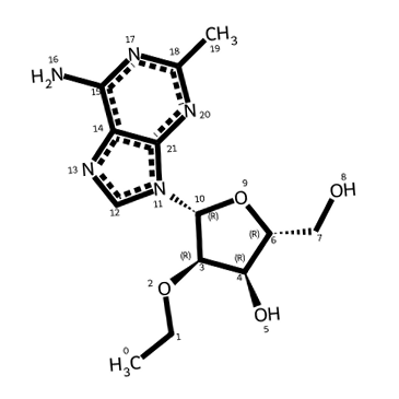 CCO[C@@H]1[C@H](O)[C@@H](CO)O[C@H]1n1cnc2c(N)nc(C)nc21